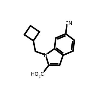 N#Cc1ccc2cc(C(=O)O)n(CC3CCC3)c2c1